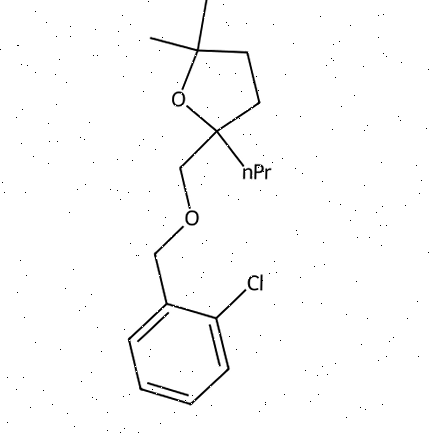 CCCC1(COCc2ccccc2Cl)CCC(C)(C)O1